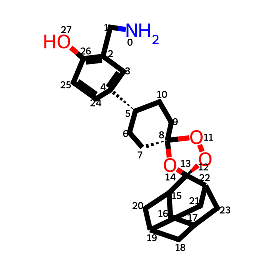 NCc1cc([C@H]2CC[C@]3(CC2)OO[C@]2(O3)C3CC4CC(C3)CC2C4)ccc1O